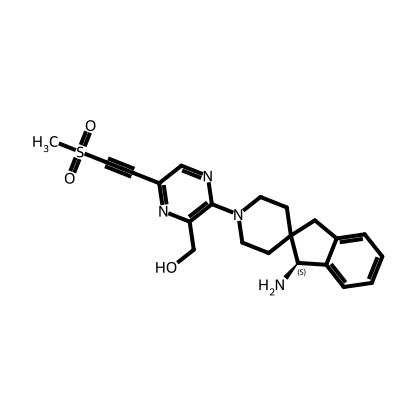 CS(=O)(=O)C#Cc1cnc(N2CCC3(CC2)Cc2ccccc2[C@H]3N)c(CO)n1